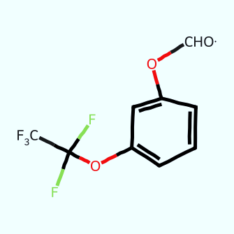 O=[C]Oc1cccc(OC(F)(F)C(F)(F)F)c1